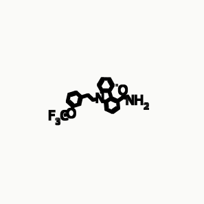 NC(=O)c1cccc2c1c1[c]cccc1n2CCc1cccc(OC(F)(F)F)c1